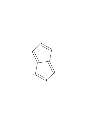 [C]1=PC=C2C=CC=C12